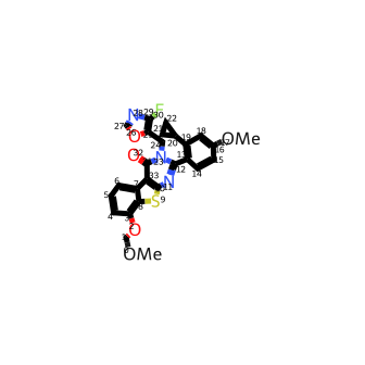 COCOc1cccc2c1sc1nc(-c3ccc(OC)cc3C3CC3)n(Cc3ocnc3F)c(=O)c12